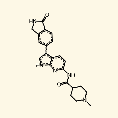 CN1CCC(C(=O)Nc2ccc3c(-c4ccc5c(c4)CNC5=O)c[nH]c3n2)CC1